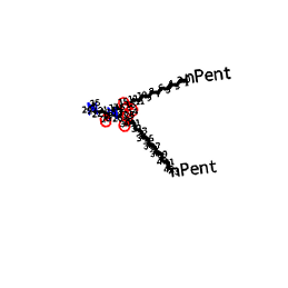 CCCCCC=CCC=CCCCCCCCC(=O)O[C@@H]1CN(C(=O)CCN(C)C)C[C@H]1OC(=O)CCCCCCCC=CCC=CCCCCC